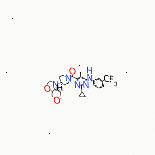 Cc1c(Nc2cccc(C(F)(F)F)c2)nc(C2CC2)nc1C(=O)N1CCC(N2CCOC3COCC[C@@H]32)CC1